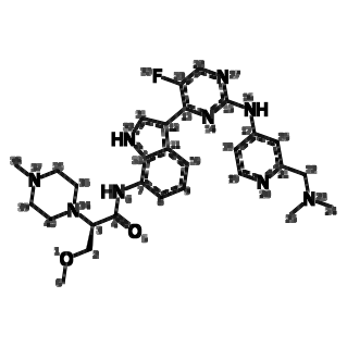 COC[C@H](C(=O)Nc1cccc2c(-c3nc(Nc4ccnc(CN(C)C)c4)ncc3F)c[nH]c12)N1CCN(C)CC1